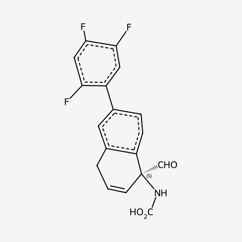 O=C[C@]1(NC(=O)O)C=CCc2cc(-c3cc(F)c(F)cc3F)ccc21